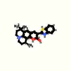 C[C@H]1CCN2CCC(C)(C)c3cc4cc(-c5nc6ccccc6s5)c(=O)oc4c1c32